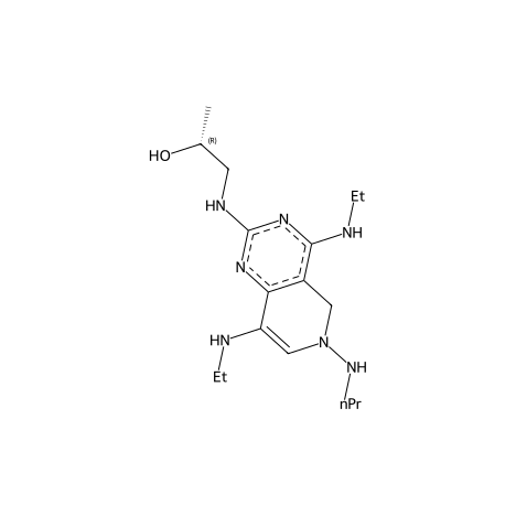 CCCNN1C=C(NCC)c2nc(NC[C@@H](C)O)nc(NCC)c2C1